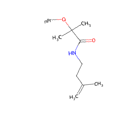 C=C(C)CCNC(=O)C(C)(C)OCCC